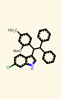 COc1cc(C(=O)O)ccc1C(c1c[nH]c2cc(Cl)ccc12)C(c1ccccc1)c1ccccc1